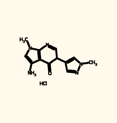 Cl.Cn1cc(C2C=Nc3c(c(N)cn3C)C2=O)cn1